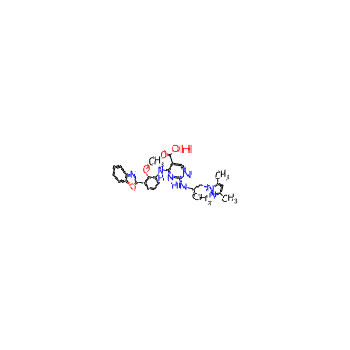 COc1c(Nc2nc(NC(C)Cn3nc(C)cc3C)ncc2C(=O)O)cccc1-c1nc2ccccc2o1